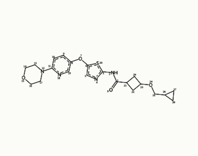 O=C(Nc1ncc(Oc2ccc(N3CCOCC3)nc2)s1)C1CC(OCC2CC2)C1